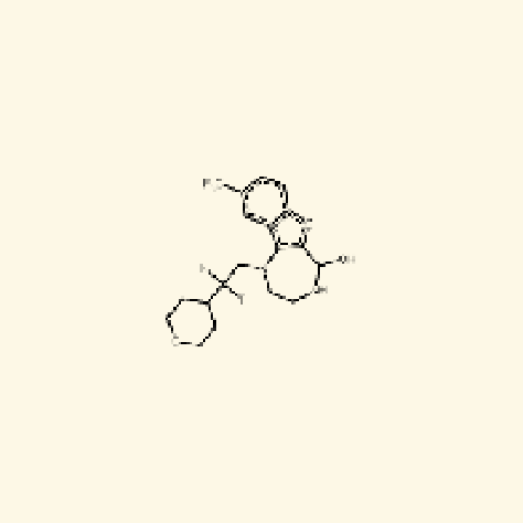 OC1NCCN(CC(F)(F)C2CCOCC2)c2c1oc1ccc(C(F)(F)F)cc21